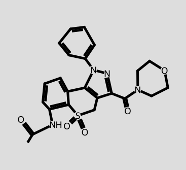 CC(=O)Nc1cccc2c1S(=O)(=O)Cc1c(C(=O)N3CCOCC3)nn(-c3ccccc3)c1-2